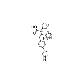 O=C(O)[C@@H](C1CCOC1)[C@H](Cc1ccc(C2CCNC2)cc1)c1nnn[nH]1